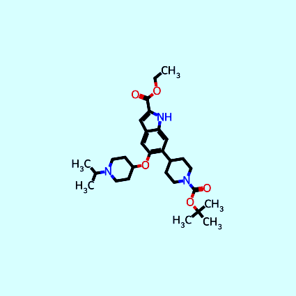 CCOC(=O)c1cc2cc(OC3CCN(C(C)C)CC3)c(C3CCN(C(=O)OC(C)(C)C)CC3)cc2[nH]1